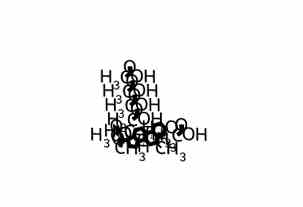 CC(=O)O.CC(=O)O.CC(=O)O.CC(=O)O.CC(=O)O.CC(=O)O[C@]1(C(C)=O)CC[C@H]2[C@@H]3C[C@H](C)C4=CC(=O)CC[C@]4(C)[C@H]3CC[C@@]21C